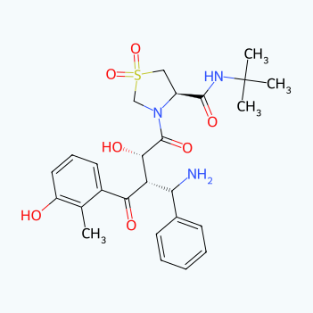 Cc1c(O)cccc1C(=O)[C@@H](C(N)c1ccccc1)[C@H](O)C(=O)N1CS(=O)(=O)C[C@H]1C(=O)NC(C)(C)C